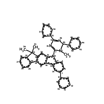 CN1C(n2c3ccc(-c4ccccc4)cc3c3cc4c(cc32)C(C)(C)c2ccccc2-4)=NC(c2ccccc2)=NC1c1ccccc1